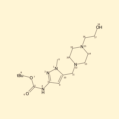 Cn1nc(NC(=O)OC(C)(C)C)cc1CN1CCN(CCO)CC1